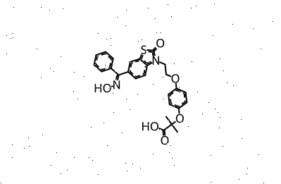 CC(C)(Oc1ccc(OCCn2c(=O)sc3cc(C(=NO)c4ccccc4)ccc32)cc1)C(=O)O